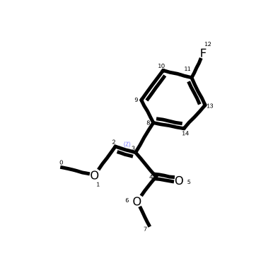 CO/C=C(\C(=O)OC)c1ccc(F)cc1